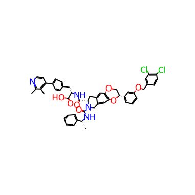 Cc1nccc(-c2ccc(C[C@H](NC(=O)[C@@H]3Cc4cc5c(cc4CN3C(=O)N[C@H](C)c3ccccc3)O[C@@H](c3cccc(OCc4ccc(Cl)c(Cl)c4)c3)CO5)C(=O)O)cc2)c1C